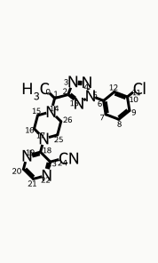 CC(c1nnn(-c2cccc(Cl)c2)n1)N1CCN(c2nccnc2C#N)CC1